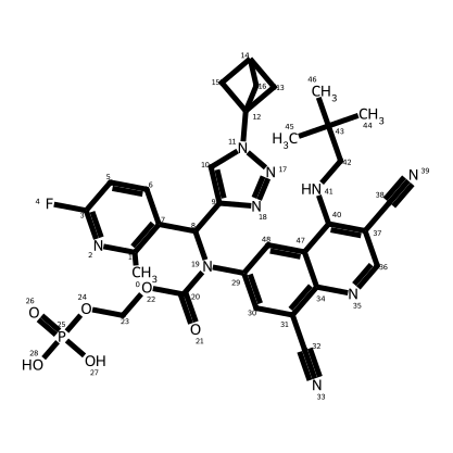 Cc1nc(F)ccc1C(c1cn(C23CC(C2)C3)nn1)N(C(=O)OCOP(=O)(O)O)c1cc(C#N)c2ncc(C#N)c(NCC(C)(C)C)c2c1